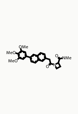 CNC(=O)C1CCN1C(=O)Cc1ccc2cc(-c3cc(OC)c(OC)c(OC)c3)ccc2c1